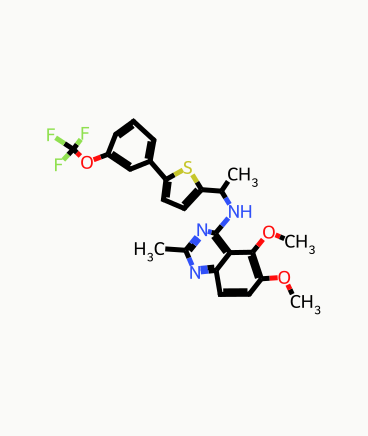 COc1ccc2nc(C)nc(NC(C)c3ccc(-c4cccc(OC(F)(F)F)c4)s3)c2c1OC